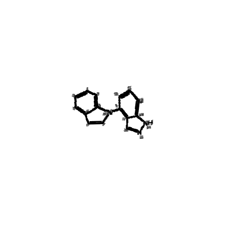 [c]1ccc2c(c1)ccn2-c1cccc2[nH]ncc12